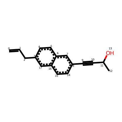 C=CCc1ccc2cc(C#CC(C)O)ccc2c1